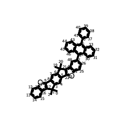 CC1(C)c2cc3c(cc2-c2oc4ccccc4c21)C(C)(C)c1c-3oc2ccc(-c3c4ccccc4c(-c4ccccc4)c4ccccc34)cc12